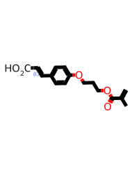 C=C(C)C(=O)OCCCOc1ccc(/C=C/C(=O)O)cc1